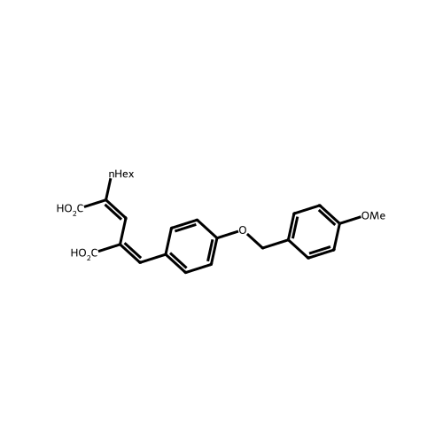 CCCCCCC(=CC(=Cc1ccc(OCc2ccc(OC)cc2)cc1)C(=O)O)C(=O)O